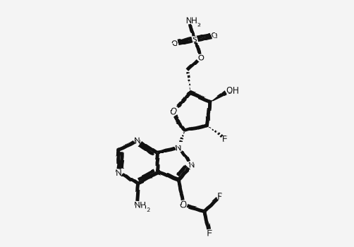 Nc1ncnc2c1c(OC(F)F)nn2[C@@H]1O[C@H](COS(N)(=O)=O)[C@@H](O)[C@@H]1F